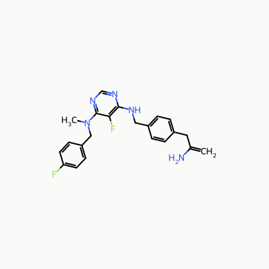 C=C(N)Cc1ccc(CNc2ncnc(N(C)Cc3ccc(F)cc3)c2F)cc1